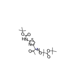 CC(=O)/C(=N\OC(C)(C)C(=O)OC(C)(C)C)c1csc(NC(=O)OC(C)(C)C)n1